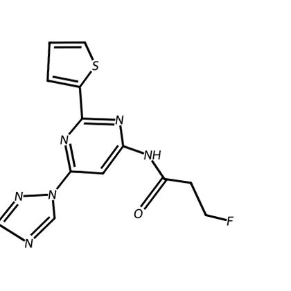 O=C(CCF)Nc1cc(-n2cncn2)nc(-c2cccs2)n1